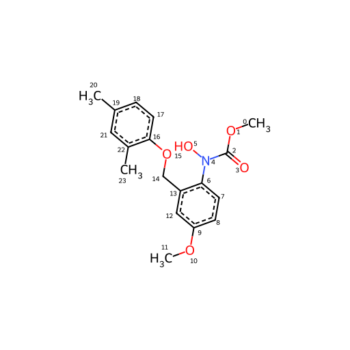 COC(=O)N(O)c1ccc(OC)cc1COc1ccc(C)cc1C